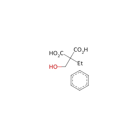 CCC(CO)(C(=O)O)C(=O)O.c1ccccc1